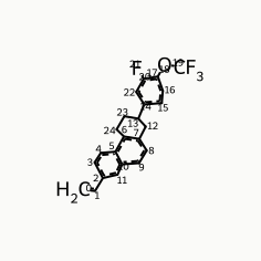 C=Cc1ccc2c3c(ccc2c1)CC(c1ccc(OC(F)(F)F)c(F)c1)CC3